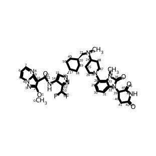 COc1nn2cccnc2c1C(=O)Nc1cn([C@H]2CC[C@H](CN(C)C3CCN(c4cccc5c4n(C)c(=O)n5C4CCC(=O)NC4=O)CC3)CC2)nc1C(F)F